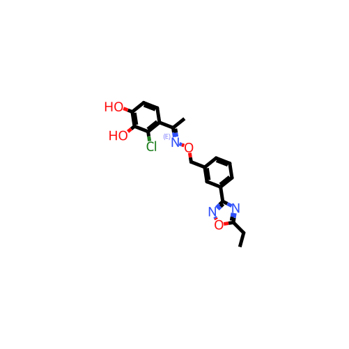 CCc1nc(-c2cccc(CO/N=C(\C)c3ccc(O)c(O)c3Cl)c2)no1